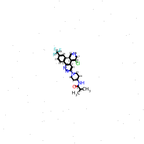 CC(C)C(=O)NC1CCN(c2cc(-c3ccncc3Cl)c(-c3ccc(C(F)(F)F)cc3)nn2)CC1